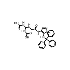 Cn1ncc(NC(=O)CNC(NC(=O)O)NC(=O)O)c1NC(c1ccccc1)(c1ccccc1)c1ccccc1